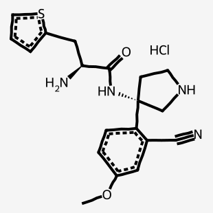 COc1ccc([C@@]2(NC(=O)[C@@H](N)Cc3cccs3)CCNC2)c(C#N)c1.Cl